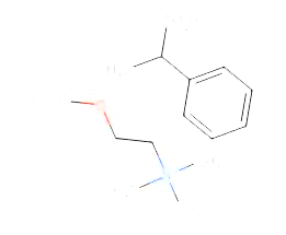 CC(C(=O)O)c1ccccc1.C[N+](C)(C)CCOC(=O)O